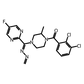 C=N/N=C(/c1ncc(F)cn1)N1CCN(C(=O)c2cccc(Cl)c2Cl)C(C)C1